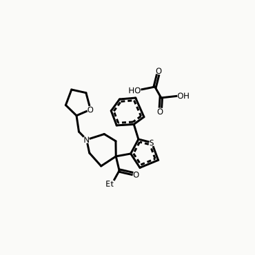 CCC(=O)C1(c2ccsc2-c2ccccc2)CCN(CC2CCCO2)CC1.O=C(O)C(=O)O